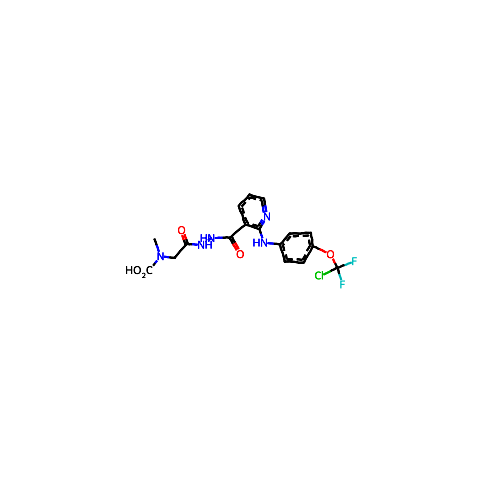 CN(CC(=O)NNC(=O)c1cccnc1Nc1ccc(OC(F)(F)Cl)cc1)C(=O)O